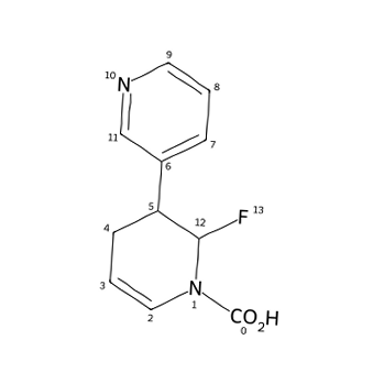 O=C(O)N1C=CCC(c2cccnc2)C1F